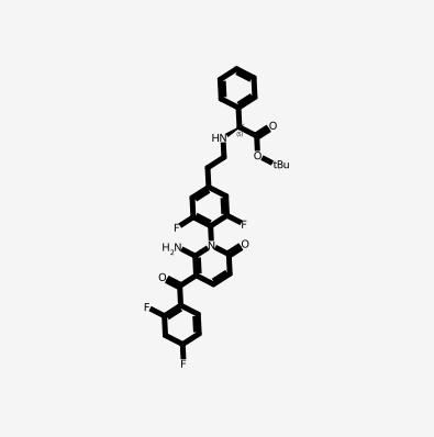 CC(C)(C)OC(=O)[C@@H](NCCc1cc(F)c(-n2c(N)c(C(=O)C3=C(F)CC(F)C=C3)ccc2=O)c(F)c1)c1ccccc1